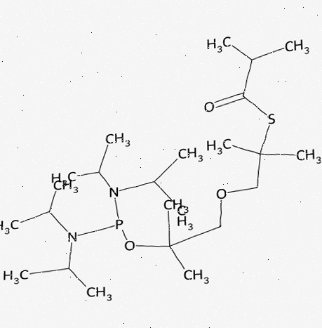 CC(C)C(=O)SC(C)(C)COCC(C)(C)OP(N(C(C)C)C(C)C)N(C(C)C)C(C)C